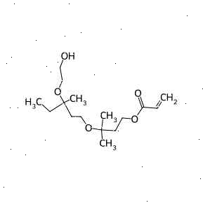 C=CC(=O)OCCC(C)(C)OCCC(C)(CC)OCCO